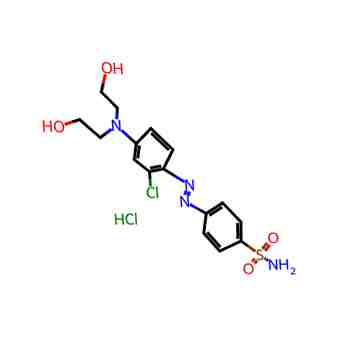 Cl.NS(=O)(=O)c1ccc(N=Nc2ccc(N(CCO)CCO)cc2Cl)cc1